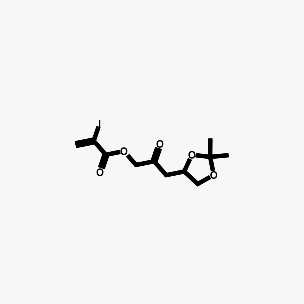 C=C(I)C(=O)OCC(=O)CC1COC(C)(C)O1